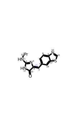 CC(C)NC1=N/C(=C\c2ccc3ncsc3c2)C(=O)N1